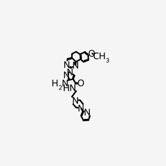 COc1ccc2c(c1)CCc1cnc(-n3cc(C(=O)NCCN4CCN(c5ccccn5)CC4)c(N)n3)nc1-2